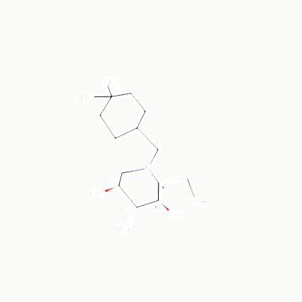 CC1(C)CCC(CN2C[C@H](O)[C@@H](O)[C@H](O)[C@H]2CO)CC1